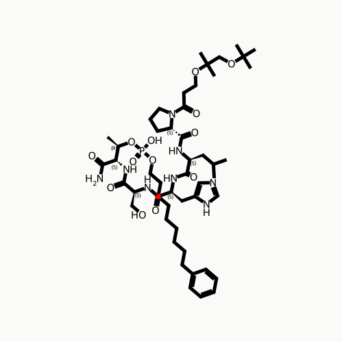 CC(C)C[C@H](NC(=O)[C@@H]1CCCN1C(=O)CCOC(C)(C)COC(C)(C)C)C(=O)N[C@@H](Cc1cnc[nH]1)C(=O)N[C@@H](CO)C(=O)N[C@H](C(N)=O)[C@@H](C)OP(=O)(O)OCCCCCCCCCc1ccccc1